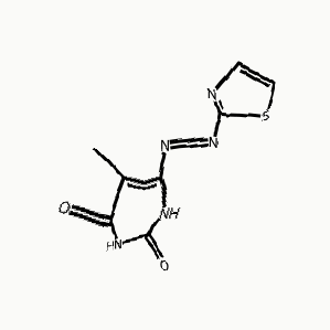 Cc1c(N=Nc2nccs2)[nH]c(=O)[nH]c1=O